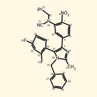 Cc1nc(-c2ccc([N+](=O)[O-])c(N(C#N)CC(C)C)c2)c(-c2ccc(F)cc2F)n1Cc1ccccc1